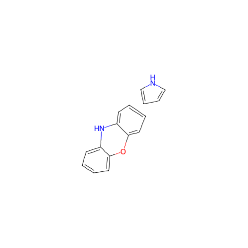 c1cc[nH]c1.c1ccc2c(c1)Nc1ccccc1O2